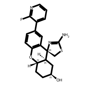 NC1=N[C@@]2(CS1)c1cc(-c3cccnc3F)ccc1O[C@H]1CC[C@H](O)C[C@@H]12